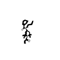 C=CC(=O)N1C(C)(C)CC(N(CCCC)C(=O)c2ccccc2)CC1(C)C